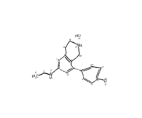 CCNc1nc2c(c(-c3ccc(Cl)cc3)n1)CNCC2.Cl